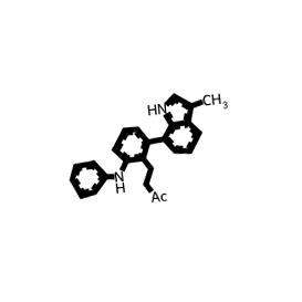 CC(=O)CCc1c(Nc2ccccc2)cccc1-c1cccc2c(C)c[nH]c12